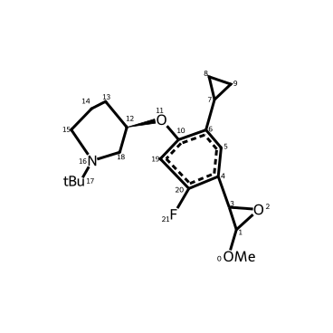 COC1OC1c1cc(C2CC2)c(O[C@@H]2CCCN(C(C)(C)C)C2)cc1F